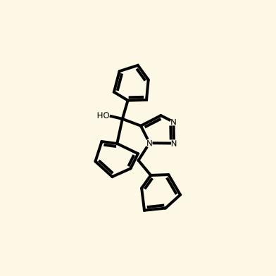 OC(c1ccccc1)(c1ccccc1)c1cnnn1Cc1ccccc1